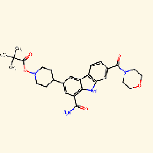 CC(C)(C)C(=O)ON1CCC(c2cc(C(N)=O)c3[nH]c4cc(C(=O)N5CCOCC5)ccc4c3c2)CC1